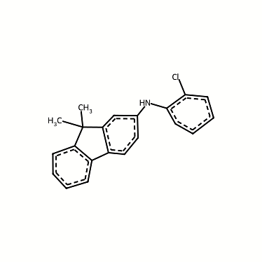 CC1(C)c2ccccc2-c2ccc(Nc3ccccc3Cl)cc21